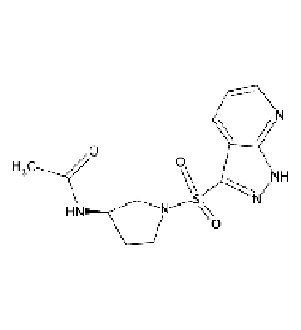 CC(=O)N[C@@H]1CCN(S(=O)(=O)c2n[nH]c3ncccc23)C1